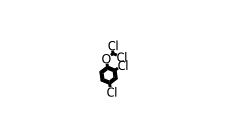 Clc1ccc(OC(Cl)Cl)c(Cl)c1